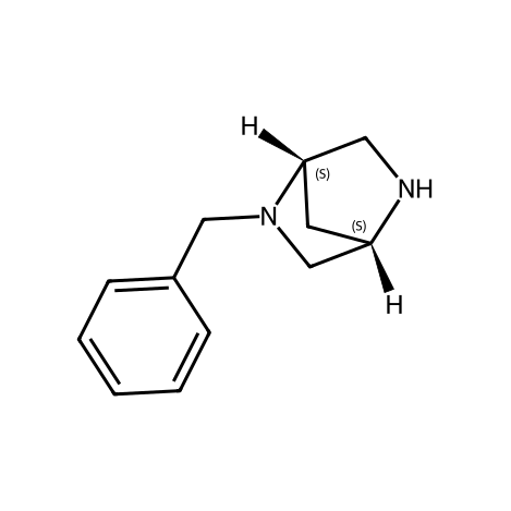 c1ccc(CN2C[C@@H]3C[C@H]2CN3)cc1